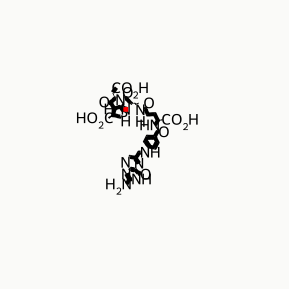 Nc1nc2ncc(CNc3ccc(C(=O)N[C@H](CCC(=O)NC[C@@H]4N[C@]56SC[C@@H](C(=O)O)[C@H]5C(=O)[C@H](CC(=O)O)N6C4=O)C(=O)O)cc3)nc2c(=O)[nH]1